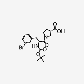 CC(C)(C)OC(=O)N[C@@H](Cc1cccc(Br)c1)C(=O)N1CC[C@@H](C(=O)O)C1